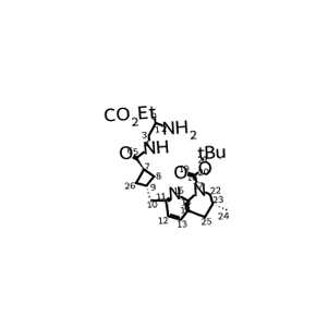 CCOC(=O)[C@@H](N)CNC(=O)[C@H]1C[C@H](Cc2ccc3c(n2)N(C(=O)OC(C)(C)C)C[C@H](C)C3)C1